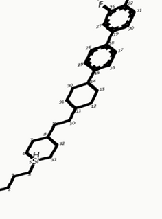 C=CCCC[SiH]1CCC(CCC2CCC(c3ccc(-c4ccc(OCC)c(F)c4)cc3)CC2)CC1